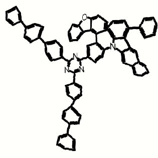 c1ccc(-c2ccc(-c3ccc(-c4nc(-c5ccc(-c6ccc(-c7ccccc7)cc6)cc5)nc(-c5ccc(-n6c7cc8ccccc8cc7c7c(-c8ccccc8)cccc76)c(-c6cccc7oc8ccccc8c67)c5)n4)cc3)cc2)cc1